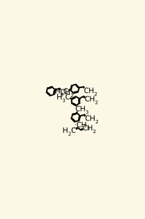 C=CC=C.C=Cc1ccc(C)cc1.C=Cc1cccc(C)c1.C=Cc1ccccc1.C=Cc1ccccc1C.[CH3]